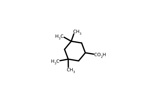 CC1(C)CC(C(=O)O)CC(C)(C)C1